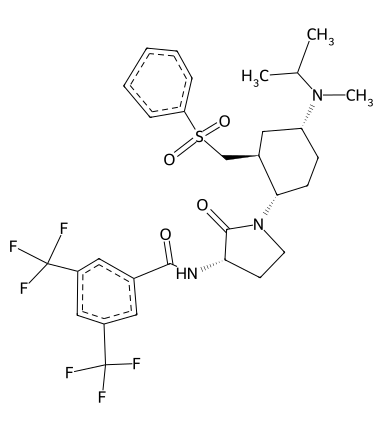 CC(C)N(C)[C@@H]1CC[C@H](N2CC[C@H](NC(=O)c3cc(C(F)(F)F)cc(C(F)(F)F)c3)C2=O)[C@@H](CS(=O)(=O)c2ccccc2)C1